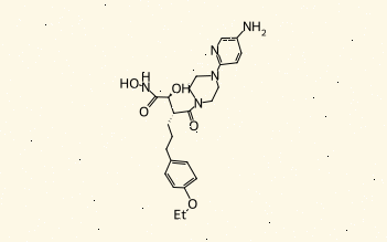 CCOc1ccc(CCC[C@@H](C(=O)N2CCN(c3ccc(N)cn3)CC2)[C@H](O)C(=O)NO)cc1